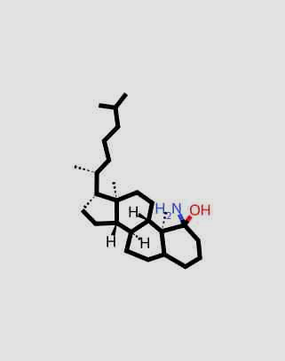 CC(C)CCC[C@@H](C)[C@H]1CC[C@H]2[C@@H]3CCC4CCCC(N)(O)[C@]4(C)[C@H]3CC[C@]12C